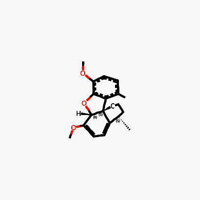 COC1=CC=C2[C@@H](C)CCC[C@@]23c2c(C)ccc(OC)c2O[C@@H]13